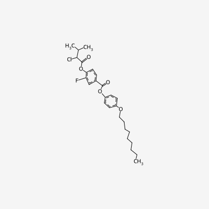 CCCCCCCCCOc1ccc(OC(=O)c2ccc(OC(=O)C(Cl)C(C)C)c(F)c2)cc1